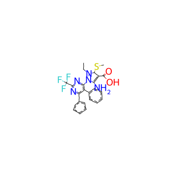 CCN1C(SC)C(C(=O)O)=C(N)N1c1nc(C(F)(F)F)nc(-c2ccccc2)c1-c1ccccc1